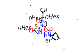 C#CC(CCCCCC)(CCCCCC)N1CCC(OC(=O)Nc2ccccc2CC)N(c2nnc(OCCCCCC)s2)C1=O